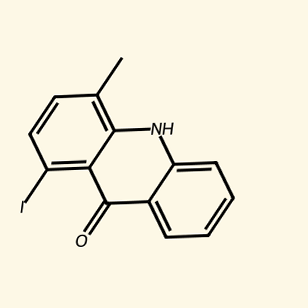 Cc1ccc(I)c2c(=O)c3ccccc3[nH]c12